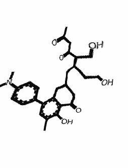 CC(=O)CC(=O)C(CO)C(CCO)CC1CC(=O)c2c(O)c(C)cc(-c3ccc(N(C)C)cc3)c2C1